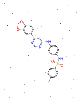 Cc1ccc(S(=O)(=O)Nc2ccc(Nc3cc(-c4ccc5c(c4)OCO5)ncn3)cc2)cc1